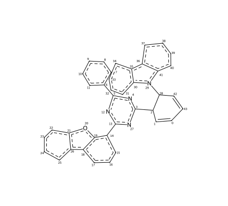 C1=CC(c2nc(-c3ccccc3)nc(-c3cccc4c3oc3ccccc34)n2)C(n2c3ccccc3c3ccccc32)C=C1